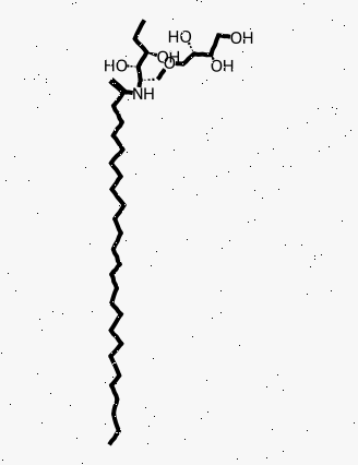 C=C(CCCCCCCCCCCCCCCCCCCCCCCCC)N[C@@H](COC[C@H](O)[C@@H](O)CO)[C@H](O)[C@H](O)CC